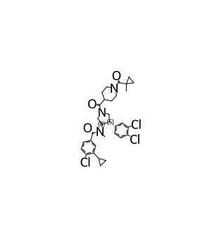 CN(C(=O)c1ccc(Cl)c(C2CC2)c1)[C@H]1CN(C(=O)C2CCN(C(=O)C3(C)CC3)CC2)C[C@@H]1c1ccc(Cl)c(Cl)c1